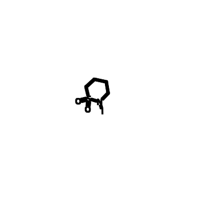 O=S1(=O)CCCCN1I